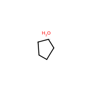 O.[CH]1CCCC1